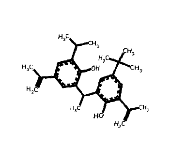 C=C(C)c1cc(C(C)C)c(O)c(C(C)c2cc(C(C)(C)C)cc(C(=C)C)c2O)c1